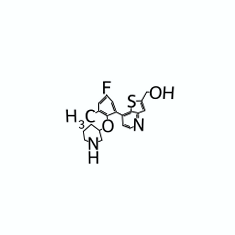 Cc1cc(F)cc(-c2ccnc3cc(CO)sc23)c1OC1CCCNC1